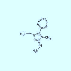 CCc1s/c(=N\N)n(C)c1-c1ccccc1